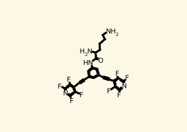 NCCCCC(N)C(=O)Nc1cc(C#Cc2c(F)c(F)nc(F)c2F)cc(C#Cc2c(F)c(F)nc(F)c2F)c1